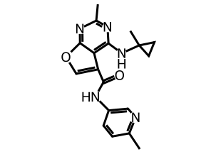 Cc1ccc(NC(=O)c2coc3nc(C)nc(NC4(C)CC4)c23)cn1